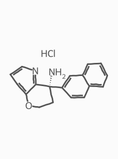 Cl.N[C@]1(c2ccc3ccccc3c2)CCOc2cccnc21